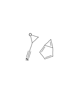 N#CC1CO1.c1cc2cc-2c1